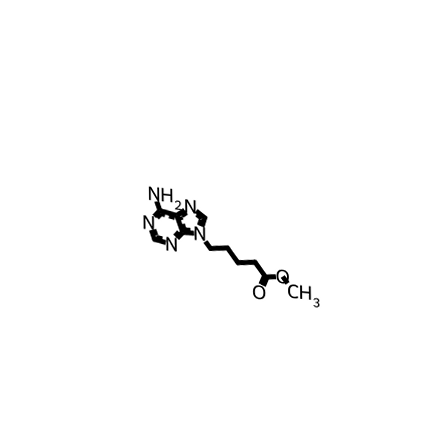 COC(=O)CCCCn1cnc2c(N)ncnc21